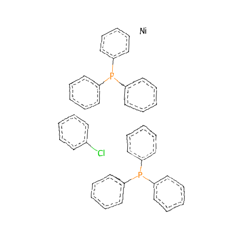 Clc1ccccc1.[Ni].c1ccc(P(c2ccccc2)c2ccccc2)cc1.c1ccc(P(c2ccccc2)c2ccccc2)cc1